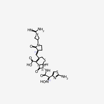 N=C(N)N1CC(N2CC/C(=C\C3=C(C(=O)O)N4C(=O)[C@@H](NC(=O)/C(=N\O)c5csc(N)n5)[C@H]4SC3)C2=O)C1